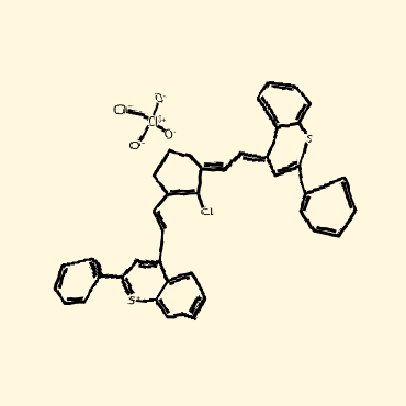 ClC1=C(C=Cc2cc(-c3ccccc3)[s+]c3ccccc23)CCCC1=CC=C1C=C(c2ccccc2)Sc2ccccc21.[O-][Cl+3]([O-])([O-])[O-]